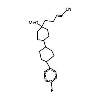 COC1(CCC=CC#N)CCC(C2CCC(c3ccc(F)cc3)CC2)CC1